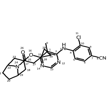 Cc1c(Nc2ccc(C#N)cc2Cl)ncnc1OC1CC2CCC(C1)N2C(=O)CC1CC1